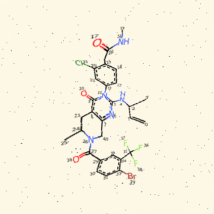 C=CC(C)Nc1nc2c(c(=O)n1-c1ccc(C(=O)NC)c(Cl)c1)CC(C)N(C(=O)c1ccc(Br)c(C(F)(F)F)c1)C2